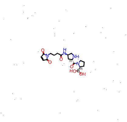 O=C(CCCN1C(=O)C=CC1=O)NC1CN[C@H](C(=O)N2CCC[C@H]2B(O)O)C1